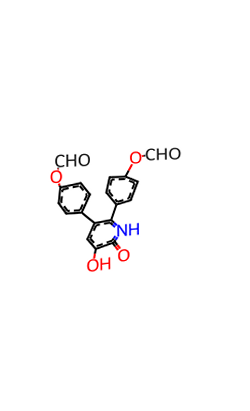 O=COc1ccc(-c2cc(O)c(=O)[nH]c2-c2ccc(OC=O)cc2)cc1